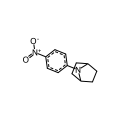 O=[N+]([O-])c1ccc(N2C3CCC2CC3)cc1